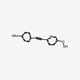 CCCCc1ccc(C#Cc2ccc(OCCC)cn2)cc1